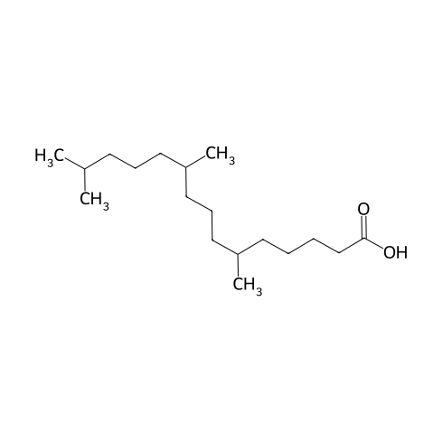 CC(C)CCCC(C)CCCC(C)CCCCC(=O)O